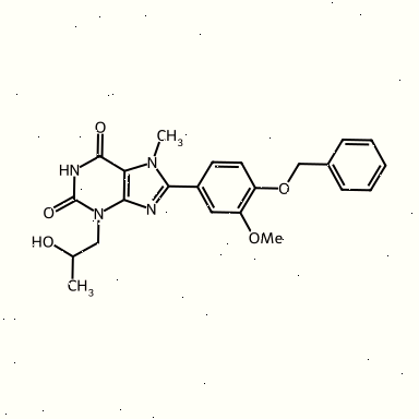 COc1cc(-c2nc3c(c(=O)[nH]c(=O)n3CC(C)O)n2C)ccc1OCc1ccccc1